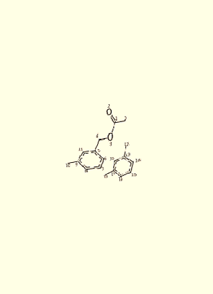 CC(=O)OCc1cccc(C)c1.Cc1cccc(C)c1